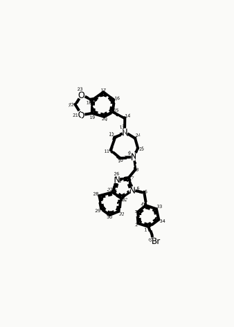 Brc1ccc(Cn2c(CN3CCCN(Cc4ccc5c(c4)OCO5)CC3)nc3ccccc32)cc1